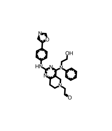 O=CCN1CCc2nc(Nc3ccc(-c4cnco4)cc3)nc(N(CCO)c3ccccc3)c2C1